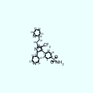 NS(=O)(=O)c1ccc(-c2c(-c3ccncc3)nn(CCc3ccccn3)c2C(F)(F)F)cc1